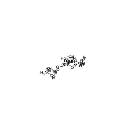 COc1ncc(-c2ccc3nccc(-c4ccc(COC(=O)CCCSSCC(NC(=O)CCc5cccc6c5CN(C(=O)C[C@@H]5C[C@@H](CN7CC(F)(F)C[C@H]7C#N)NC5=O)C6)C(=O)N[C@@H]5[C@@H](O)[C@H](C)C(O)O[C@H]5CO)nc4)c3c2)cc1N